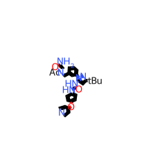 CC(=O)N(CC(N)=O)Cc1cccc(-n2nc(C(C)(C)C)cc2NC(=O)Nc2ccc(Oc3ccncc3)cc2)c1